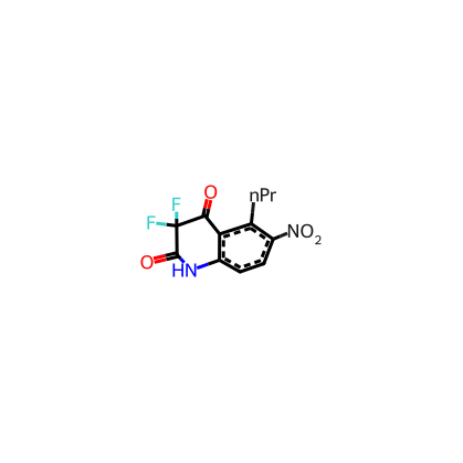 CCCc1c([N+](=O)[O-])ccc2c1C(=O)C(F)(F)C(=O)N2